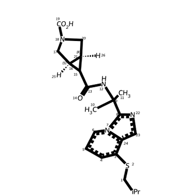 CC(C)CSc1cccn2c(C(C)(C)NC(=O)C3[C@H]4CN(C(=O)O)C[C@@H]34)ncc12